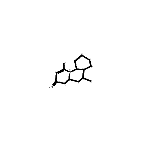 CC1=CC(=O)CC2CC(C)C3CCCCC3N12